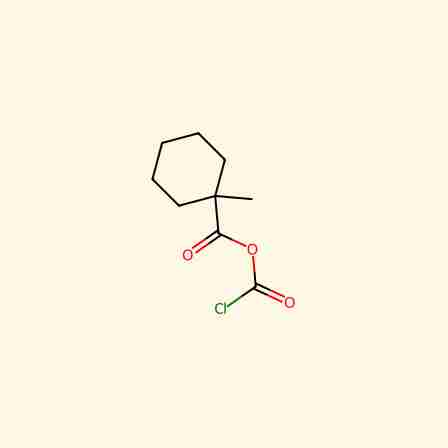 CC1(C(=O)OC(=O)Cl)CCCCC1